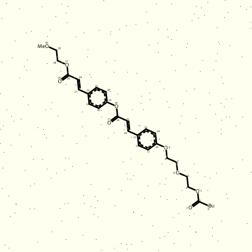 CCC(C)C(=O)OCCOCCOc1ccc(/C=C/C(=O)Oc2ccc(/C=C/C(=O)OCCOC)cc2)cc1